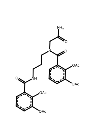 CC(=O)Oc1cccc(C(=O)NCCCN(CC(N)=O)C(=O)c2cccc(OC(C)=O)c2OC(C)=O)c1OC(C)=O